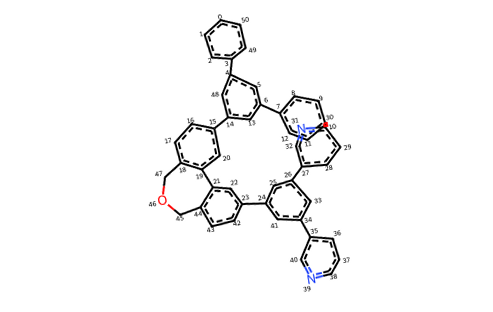 c1ccc(-c2cc(-c3ccccc3)cc(-c3ccc4c(c3)-c3cc(-c5cc(-c6cccnc6)cc(-c6cccnc6)c5)ccc3COC4)c2)cc1